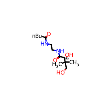 CCCCC(=O)NCCNC(=O)[C@H](O)C(C)(C)CO